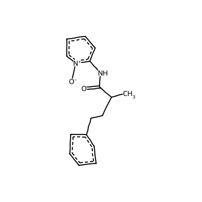 CC(CCc1ccccc1)C(=O)Nc1cccc[n+]1[O-]